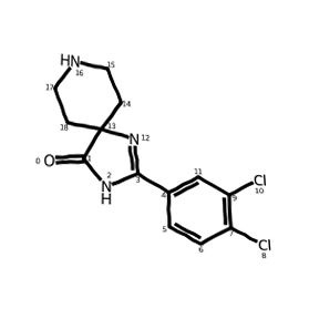 O=C1NC(c2ccc(Cl)c(Cl)c2)=NC12CCNCC2